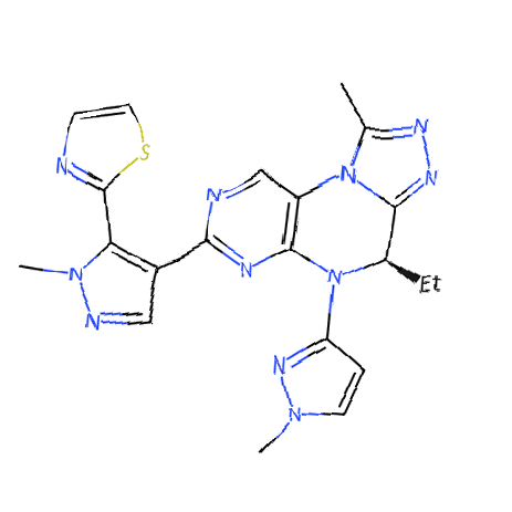 CC[C@@H]1c2nnc(C)n2-c2cnc(-c3cnn(C)c3-c3nccs3)nc2N1c1ccn(C)n1